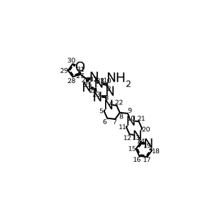 Nc1nc(N2CCCC(CN3CCN(c4ccccn4)CC3)C2)nc2nc(-c3ccco3)nn12